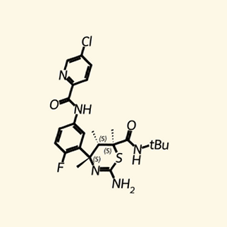 C[C@@H]1[C@@](C)(C(=O)NC(C)(C)C)SC(N)=N[C@]1(C)c1cc(NC(=O)c2ccc(Cl)cn2)ccc1F